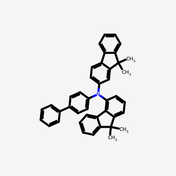 CC1(C)c2ccccc2-c2ccc(N(c3ccc(-c4ccccc4)cc3)c3cccc4c3-c3ccccc3C4(C)C)cc21